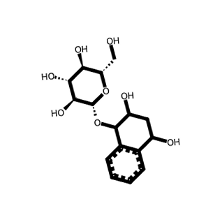 OC[C@@H]1O[C@H](OC2c3ccccc3C(O)CC2O)[C@@H](O)[C@H](O)[C@H]1O